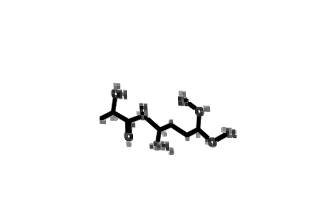 CCOC(CCC([SiH3])NC(=O)C(C)O)OCC